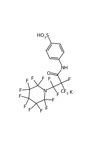 O=C(Nc1ccc(S(=O)(=O)O)cc1)C(F)(C(F)(F)F)C(F)(F)N1C(F)(F)C(F)(F)C(F)(F)C(F)(F)C1(F)F.[K]